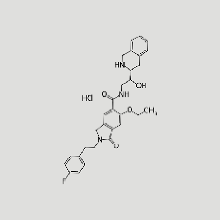 CCOc1cc2c(cc1C(=O)NCC(O)[C@@H]1Cc3ccccc3CN1)CN(CCc1ccc(F)cc1)C2=O.Cl